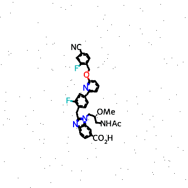 CO[C@H](CNC(C)=O)Cn1c(Cc2ccc(-c3cccc(OCc4ccc(C#N)cc4F)n3)cc2F)nc2ccc(C(=O)O)cc21